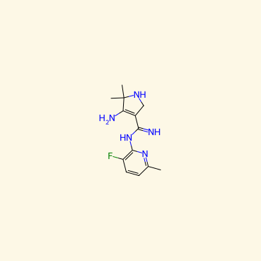 Cc1ccc(F)c(NC(=N)C2=C(N)C(C)(C)NC2)n1